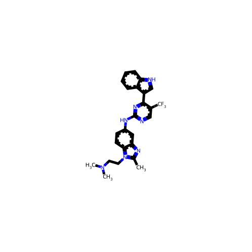 Cc1nc2cc(Nc3ncc(C(F)(F)F)c(-c4c[nH]c5ccccc45)n3)ccc2n1CCN(C)C